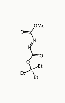 CC[Si](CC)(CC)OC(=O)N=NC(=O)OC